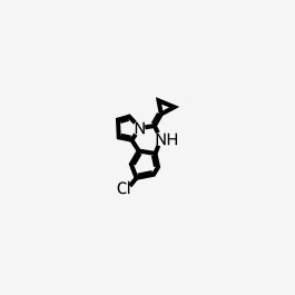 Clc1ccc2c(c1)-c1cccn1C(=C1CC1)N2